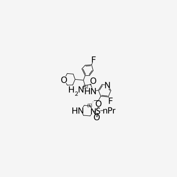 CCCS(=O)(=O)N1CCNC[C@@H]1CCc1c(F)cncc1NC(=O)[C@@H](N)C(c1ccc(F)cc1)C1CCOCC1